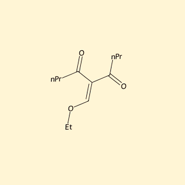 CCCC(=O)C(=COCC)C(=O)CCC